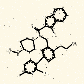 CCOc1ccc(-c2ccc(I)nc2C)cc1CN(C(=O)c1sc2ccccc2c1Cl)[C@H]1CC[C@H](NC)CC1